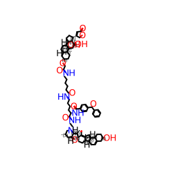 CC1=C2C[C@H]3[C@@H](CC=C4C[C@@H](O)CC[C@@]43C)[C@@H]2CC[C@]12O[C@@H]1C[C@H](C)CN(CCNC(=O)C(CCCCNC(=O)CCCCCNC(=O)CO[C@H]3CC[C@@]4(C)[C@H](CC[C@@H]5[C@@H]4C[C@@H](O)[C@]4(C)[C@@H](C6=CC(=O)OC6)CC[C@]54O)C3)NC(=O)c3ccc(C(=O)c4ccccc4)cc3)[C@H]1[C@H]2C